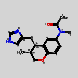 CCN(C(=O)OC)c1ccc2c(c1)[C@@H](Cc1c[nH]cn1)[C@@H](C)CO2